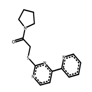 O=C(CSc1nccc(-c2ccccn2)n1)N1CCCC1